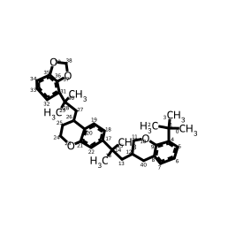 CC(C)(C)c1cccc2c1OCC(CC(C)(C)c1ccc3c(c1)OCCC3CC(C)(C)c1cccc3c1OCO3)C2